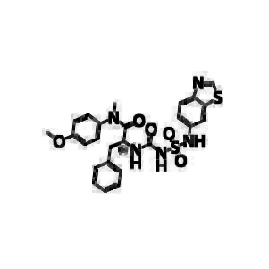 COc1ccc(N(C)C(=O)[C@H](Cc2ccccc2)NC(=O)NS(=O)(=O)Nc2ccc3ncsc3c2)cc1